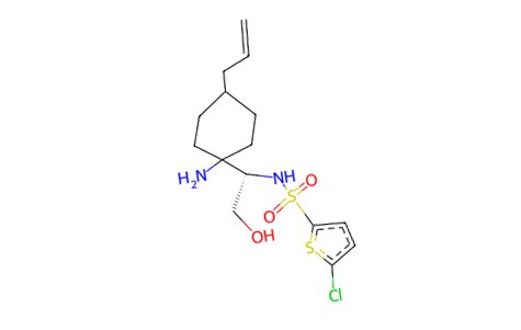 C=CCC1CCC(N)([C@@H](CO)NS(=O)(=O)c2ccc(Cl)s2)CC1